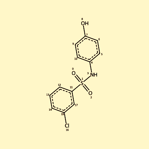 O=S(=O)(Nc1ccc(O)cc1)c1cccc(Cl)c1